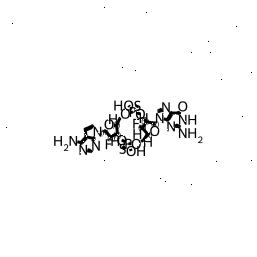 Nc1nc2c(ncn2[C@@H]2O[C@@H]3COP(O)(=S)O[C@H]4[C@H](F)[C@H](n5ccc6c(N)ncnc65)O[C@@H]4COP(O)(=S)O[C@@H]2[C@@H]3F)c(=O)[nH]1